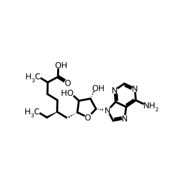 CC[C@@H](CCC(C)C(=O)O)C[C@H]1O[C@@H](n2cnc3c(N)ncnc32)[C@@H](O)C1O